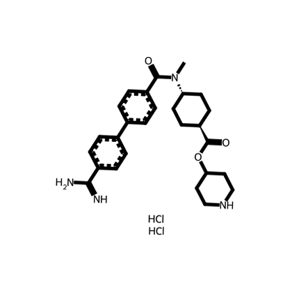 CN(C(=O)c1ccc(-c2ccc(C(=N)N)cc2)cc1)[C@H]1CC[C@H](C(=O)OC2CCNCC2)CC1.Cl.Cl